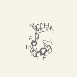 CCN1CCOc2c(F)cc(-c3nc(Nc4ccc(N5CCN(C(=O)OC(C)(C)C)CC5)c(F)c4)ncc3F)cc21